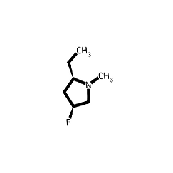 CC[C@@H]1C[C@H](F)CN1C